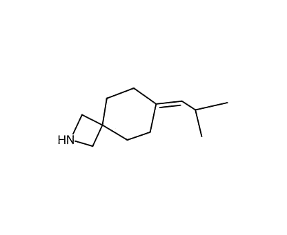 CC(C)C=C1CCC2(CC1)CNC2